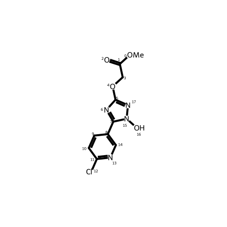 COC(=O)COc1nc(-c2ccc(Cl)nc2)n(O)n1